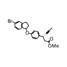 CC#C[C@H](CC(=O)OC)c1ccc(OC2CCc3cc(Br)ccc32)cc1